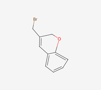 BrCC1=Cc2ccccc2OC1